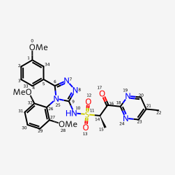 COc1cccc(-c2nnc(NS(=O)(=O)[C@H](C)C(=O)c3ncc(C)cn3)n2-c2c(OC)cccc2OC)c1